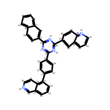 c1ccc2cc(-c3nc(-c4ccc(-c5cccc6cnccc56)cc4)nc(-c4ccc5ncccc5c4)n3)ccc2c1